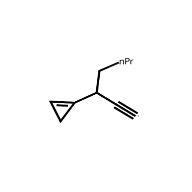 [C]#CC(CCCC)C1=CC1